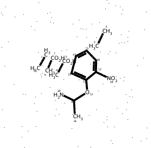 CC.CC.CC(=O)O.CC(=O)O.CC(N)Oc1ccccc1[N+](=O)[O-]